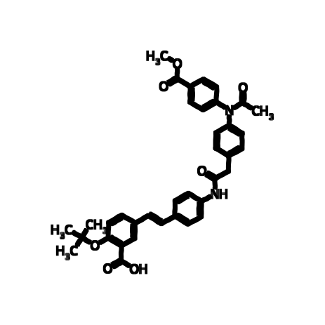 COC(=O)c1ccc(N(C(C)=O)c2ccc(CC(=O)Nc3ccc(C=Cc4ccc(OC(C)(C)C)c(C(=O)O)c4)cc3)cc2)cc1